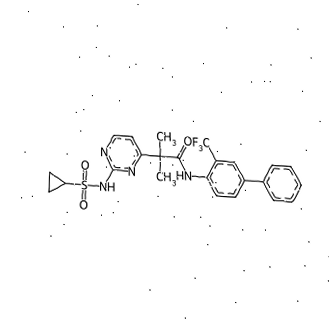 CC(C)(C(=O)Nc1ccc(-c2ccccc2)cc1C(F)(F)F)c1ccnc(NS(=O)(=O)C2CC2)n1